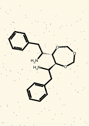 NC(Cc1ccccc1)[C@@H]1OCOCO[C@H]1C(N)Cc1ccccc1